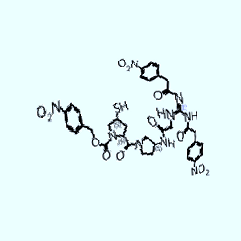 O=C(Cc1ccc([N+](=O)[O-])cc1)/N=C(\NCC(=O)N[C@H]1CCN(C(=O)[C@@H]2C[C@H](S)CN2C(=O)OCc2ccc([N+](=O)[O-])cc2)C1)NC(=O)Cc1ccc([N+](=O)[O-])cc1